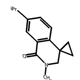 CC(C)c1ccc2c(c1)C(=O)N(C)CC21CC1